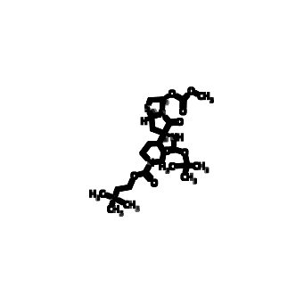 COC(=O)O[C@@H]1CS[C@H]2C[C@](NC(=O)OC(C)(C)C)(C3CCN(C(=O)OCC[Si](C)(C)C)CC3)C(=O)N21